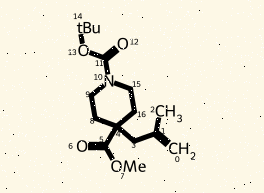 C=C(C)CC1(C(=O)OC)CCN(C(=O)OC(C)(C)C)CC1